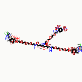 O=C(CCC(O)C(NC(=O)COCCOCCOCCNc1ccc([N+](=O)[O-])cc1[N+](=O)[O-])C(O)CCC(=O)NCCOCCOCCOCCOC[C@@]12CO[C@@H](O1)[C@H](Nc1nc(Cl)ns1)[C@@H](O)[C@H]2O)NCCOCCOCCOCCOC[C@@]12CO[C@@H](O1)[C@H](Nc1nc(Cl)ns1)[C@@H](O)[C@H]2O